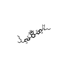 CCCCNc1cc2sc(-c3ccc(-c4cc5sc(CC(CC)CCCC)cc5s4)c4nsnc34)cc2s1